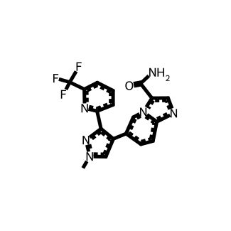 Cn1cc(-c2ccc3ncc(C(N)=O)n3c2)c(-c2cccc(C(F)(F)F)n2)n1